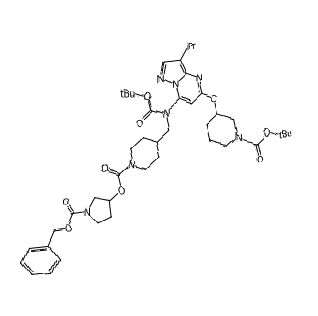 CC(C)c1cnn2c(N(CC3CCN(C(=O)OC4CCN(C(=O)OCc5ccccc5)C4)CC3)C(=O)OC(C)(C)C)cc(OC3CCCN(C(=O)OC(C)(C)C)C3)nc12